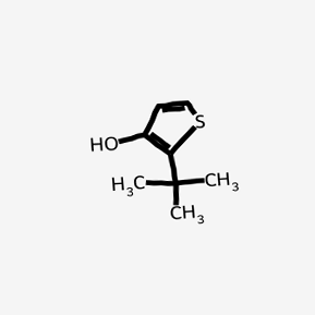 CC(C)(C)c1sccc1O